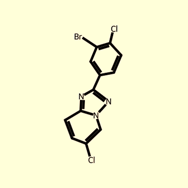 Clc1ccc2nc(-c3ccc(Cl)c(Br)c3)nn2c1